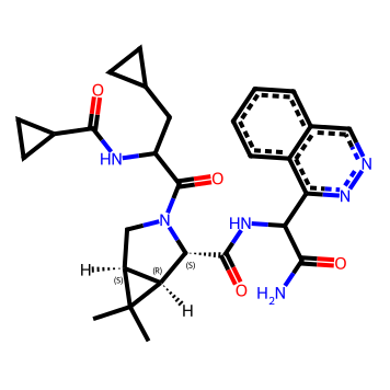 CC1(C)[C@@H]2[C@@H](C(=O)NC(C(N)=O)c3nncc4ccccc34)N(C(=O)C(CC3CC3)NC(=O)C3CC3)C[C@@H]21